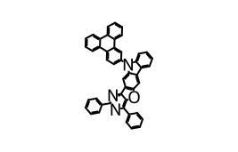 c1ccc(-c2nc(-c3ccccc3)c3oc4cc5c6ccccc6n(-c6ccc7c8ccccc8c8ccccc8c7c6)c5cc4c3n2)cc1